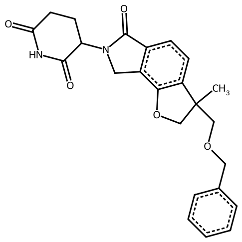 CC1(COCc2ccccc2)COc2c1ccc1c2CN(C2CCC(=O)NC2=O)C1=O